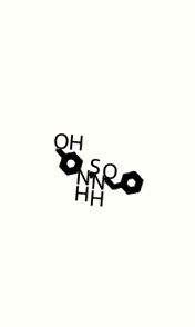 O=C(Cc1ccccc1)NC(=S)Nc1ccc(CO)cc1